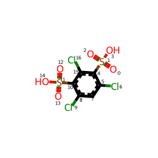 O=S(=O)(O)c1c(Cl)cc(Cl)c(S(=O)(=O)O)c1Cl